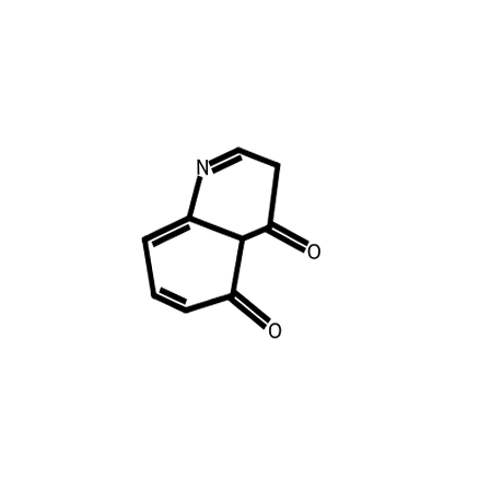 O=C1C=CC=C2N=CCC(=O)C12